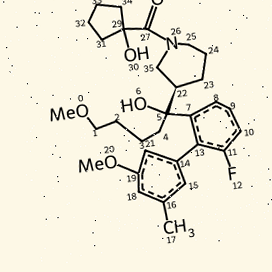 COCCCCC(O)(c1cccc(F)c1-c1cc(C)cc(OC)c1)[C@@H]1CCCN(C(=O)C2(O)CCCC2)C1